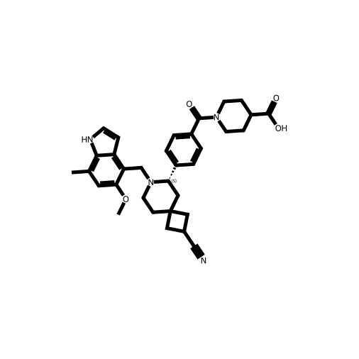 COc1cc(C)c2[nH]ccc2c1CN1CCC2(CC(C#N)C2)C[C@H]1c1ccc(C(=O)N2CCC(C(=O)O)CC2)cc1